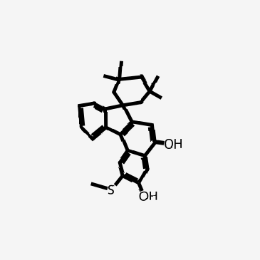 CSc1cc2c3c(cc(O)c2cc1O)C1(CC(C)(C)CC(C)(C)C1)c1ccccc1-3